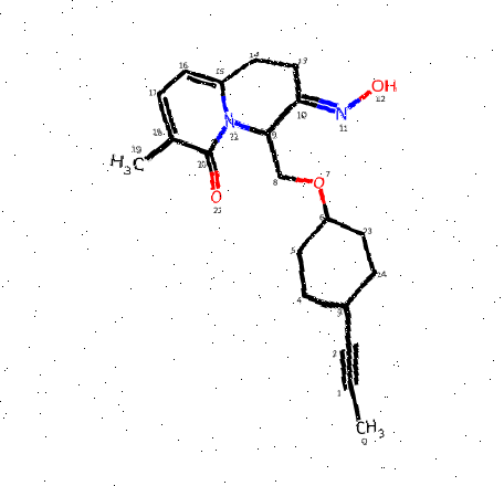 CC#CC1CCC(OCC2C(=NO)CCc3ccc(C)c(=O)n32)CC1